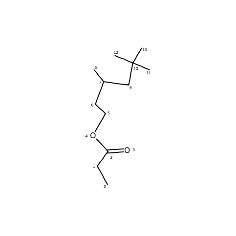 CCC(=O)OCCC(C)CC(C)(C)C